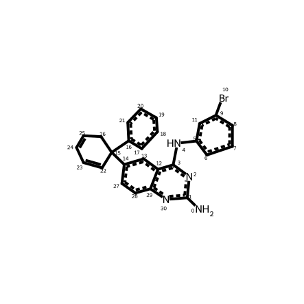 Nc1nc(Nc2cccc(Br)c2)c2cc(C3(c4ccccc4)C=CC=CC3)ccc2n1